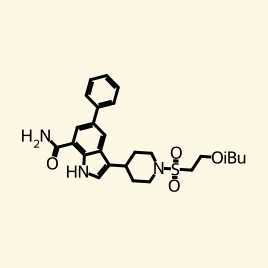 CC(C)COCCS(=O)(=O)N1CCC(c2c[nH]c3c(C(N)=O)cc(-c4ccccc4)cc23)CC1